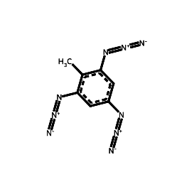 Cc1c(N=[N+]=[N-])cc(N=[N+]=[N-])cc1N=[N+]=[N-]